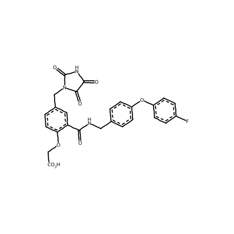 O=C(O)COc1ccc(CN2C(=O)NC(=O)C2=O)cc1C(=O)NCc1ccc(Oc2ccc(F)cc2)cc1